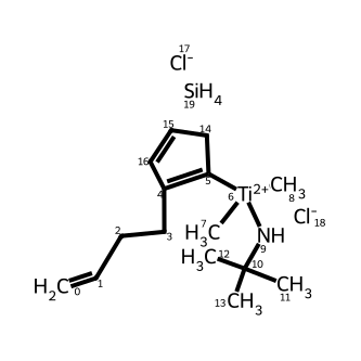 C=CCCC1=[C]([Ti+2]([CH3])([CH3])[NH]C(C)(C)C)CC=C1.[Cl-].[Cl-].[SiH4]